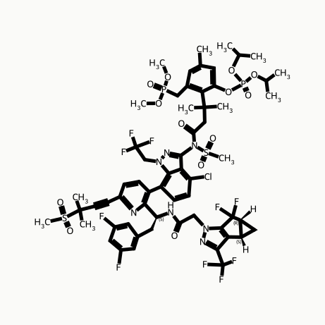 COP(=O)(Cc1cc(C)cc(OP(=O)(OC(C)C)OC(C)C)c1C(C)(C)CC(=O)N(c1nn(CC(F)(F)F)c2c(-c3ccc(C#CC(C)(C)S(C)(=O)=O)nc3[C@H](Cc3cc(F)cc(F)c3)NC(=O)Cn3nc(C(F)(F)F)c4c3C(F)(F)[C@@H]3C[C@H]43)ccc(Cl)c12)S(C)(=O)=O)OC